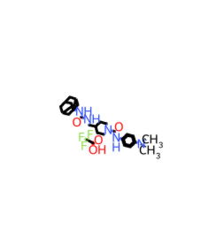 CN(C)c1ccc(NC(=O)N2CCC(CNC(=O)NC34CC5CC(CC(C5)C3)C4)CC2)cc1.O=C(O)C(F)(F)F